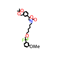 COc1cccc(C(F)(F)COCCCCCCN2CC(c3ccc4c(c3)COC(C)(C)O4)OC2=O)c1